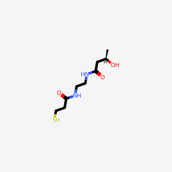 C[C@@H](O)CC(=O)NCCNC(=O)CCS